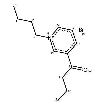 CCCC[n+]1cccc(C(=O)CCC)c1.[Br-]